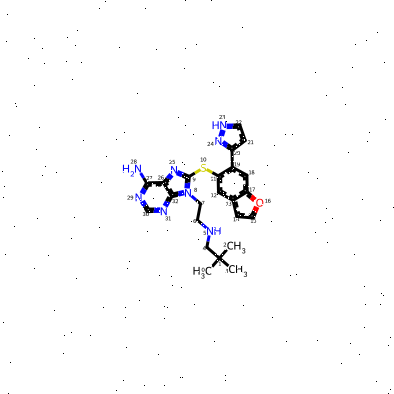 CC(C)(C)CNCCn1c(Sc2cc3ccoc3cc2-c2cc[nH]n2)nc2c(N)ncnc21